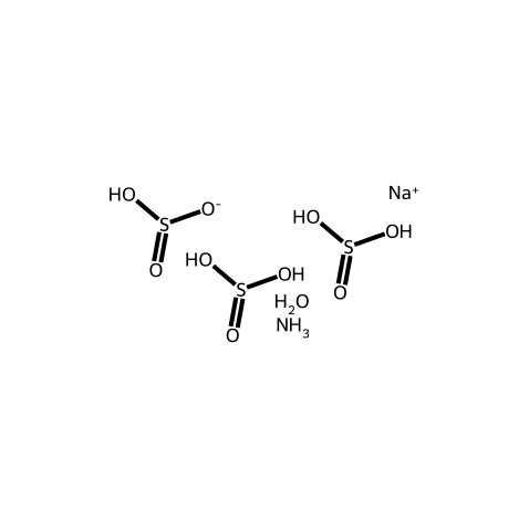 N.O.O=S(O)O.O=S(O)O.O=S([O-])O.[Na+]